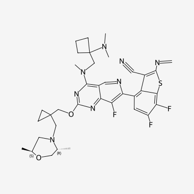 C=Nc1sc2c(F)c(F)cc(-c3ncc4c(N(C)CC5(N(C)C)CCC5)nc(OCC5(CN6C[C@H](C)OC[C@H]6C)CC5)nc4c3F)c2c1C#N